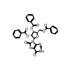 O=C(OC[C@H]1O[C@@H](n2c(=O)sc3c(=O)[nH]cnc32)[C@H](OC(=O)c2ccccc2)[C@@H]1OC(=O)c1ccccc1)c1ccccc1